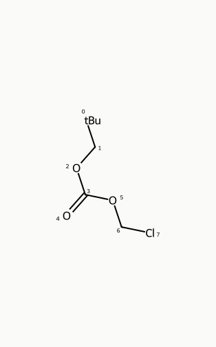 CC(C)(C)COC(=O)OCCl